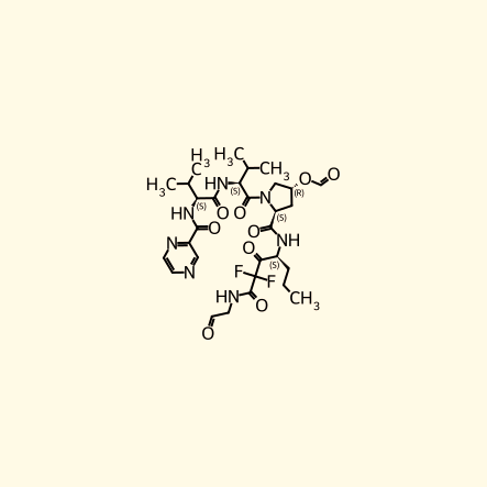 CCC[C@H](NC(=O)[C@@H]1C[C@@H](OC=O)CN1C(=O)[C@@H](NC(=O)[C@@H](NC(=O)c1cnccn1)C(C)C)C(C)C)C(=O)C(F)(F)C(=O)NCC=O